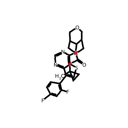 CC1(OC(=O)N2CC3COCC(C2)C3Oc2ncnc3c(-c4ccc(F)cc4F)csc23)CC1